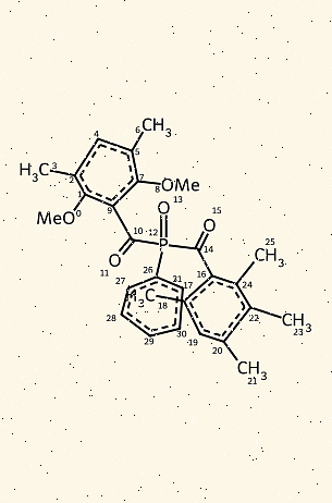 COc1c(C)cc(C)c(OC)c1C(=O)P(=O)(C(=O)c1c(C)cc(C)c(C)c1C)c1ccccc1